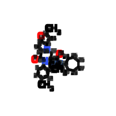 Cc1ccc(N2C(=O)c3cc4oc(C)cc4n3CC2(C)C(=O)NC2CCCCCC2)c(C)c1